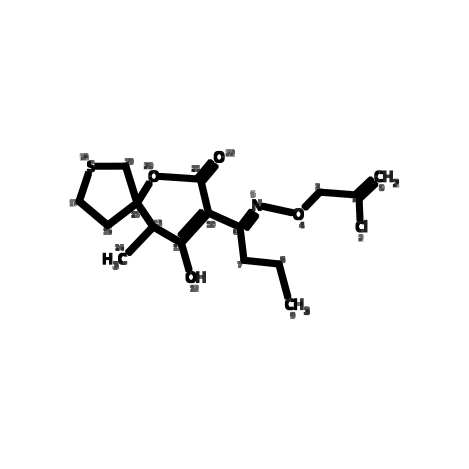 C=C(Cl)CON=C(CCC)C1=C(O)C(C)C2(CCSC2)OC1=O